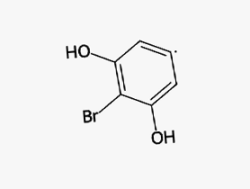 Oc1c[c]cc(O)c1Br